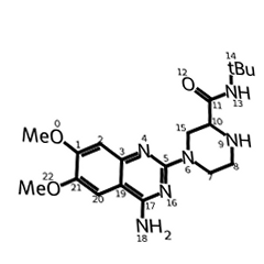 COc1cc2nc(N3CCNC(C(=O)NC(C)(C)C)C3)nc(N)c2cc1OC